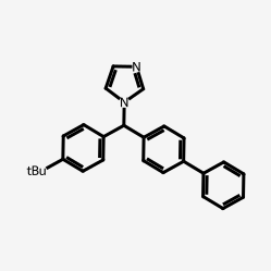 CC(C)(C)c1ccc(C(c2ccc(-c3ccccc3)cc2)n2ccnc2)cc1